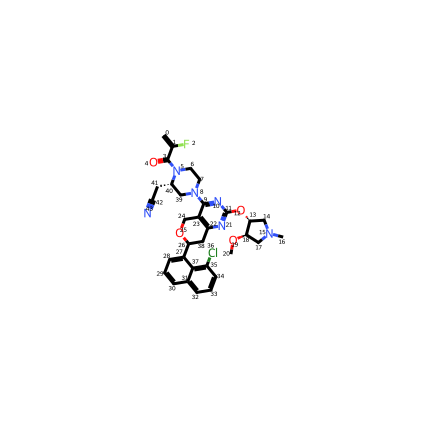 C=C(F)C(=O)N1CCN(c2nc(O[C@@H]3CN(C)C[C@H]3OC)nc3c2COC(c2cccc4cccc(Cl)c24)C3)C[C@@H]1CC#N